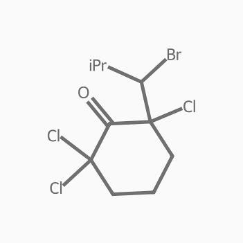 CC(C)C(Br)C1(Cl)CCCC(Cl)(Cl)C1=O